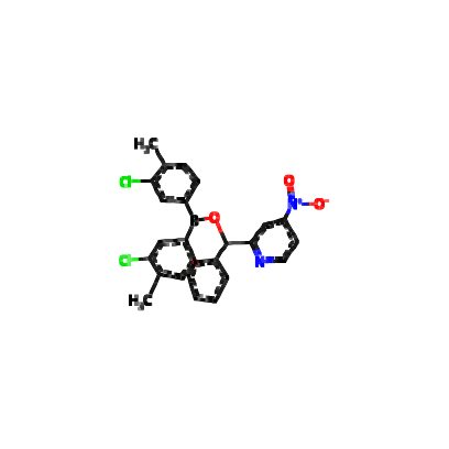 Cc1ccc(B(OC(c2ccccc2)c2cc([N+](=O)[O-])ccn2)c2ccc(C)c(Cl)c2)cc1Cl